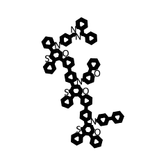 c1ccc(-c2ccc(-n3c4cc(-c5ccc6oc7c(c6c5)c5c6ccccc6sc5c5c6ccc(-c8ccc9oc%10c(c9c8)c8c9ccccc9sc8c8c9ccccc9n(-c9ccc(-c%11nc(-c%12ccccc%12)c%12ccccc%12n%11)cc9)c%108)cc6n(-c6ccc8oc9ccccc9c8c6)c75)ccc4c4c5sc6ccccc6c5c5c6ccccc6oc5c43)cc2)cc1